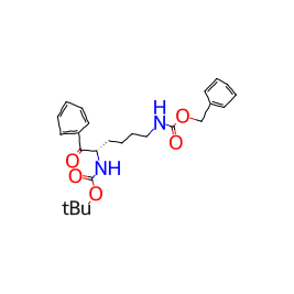 CC(C)(C)OC(=O)N[C@@H](CCCCNC(=O)OCc1ccccc1)C(=O)c1ccccc1